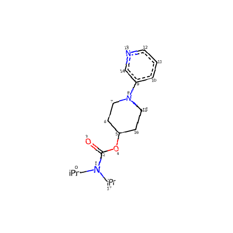 CC(C)N(C(=O)OC1CCN(c2cccnc2)CC1)C(C)C